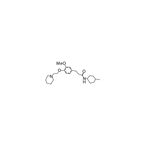 COc1cc(CCC(=O)NC2CCC(C)CC2)ccc1OCCN1CCCCC1